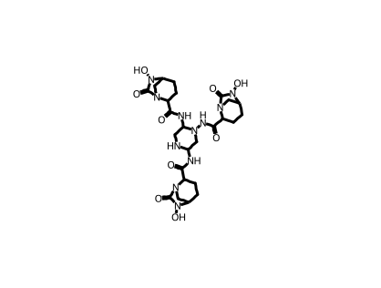 O=C(NC1CN(NC(=O)C2CCC3CN2C(=O)N3O)C(NC(=O)C2CCC3CN2C(=O)N3O)CN1)C1CCC2CN1C(=O)N2O